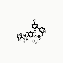 O=C(O)CNCc1cc(-c2cc(Cl)ccc2Oc2cc(F)c(S(=O)(=O)Nc3ncns3)cc2Cl)ccn1